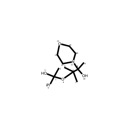 CC(C)C(C)(O)OC(C)(C)C(C)(O)N1CCOCC1